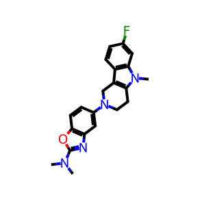 CN(C)c1nc2cc(N3CCc4c(c5ccc(F)cc5n4C)C3)ccc2o1